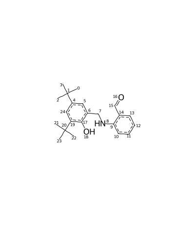 CC(C)(C)c1cc(CNc2ccccc2C=O)c(O)c(C(C)(C)C)c1